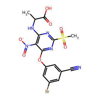 CC(Nc1nc(S(C)(=O)=O)nc(Oc2cc(Br)cc(C#N)c2)c1[N+](=O)[O-])C(=O)O